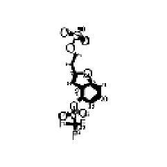 CS(=O)(=O)OCCc1cc2c(OS(=O)(=O)C(F)(F)F)cccc2o1